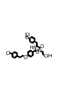 CCOc1ccc(C=C(NC(=O)c2ccc(OCCc3ccc(Cl)cc3)cc2)C(=O)NCCO)cc1